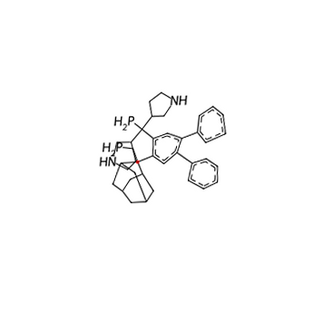 PCC1(c2cc(-c3ccccc3)c(-c3ccccc3)cc2C(P)(C2CCNC2)C2CCNC2)C2CC3CC(C2)CC1C3